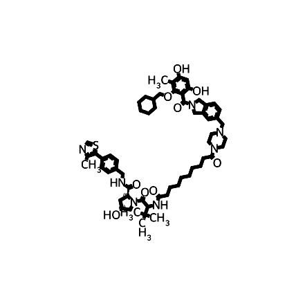 Cc1ncsc1-c1ccc(CNC(=O)[C@@H]2C[C@@H](O)CN2C(=O)C(NC(=O)CCCCCCCCC(=O)N2CCN(Cc3ccc4c(c3)CN(C(=O)c3c(O)cc(O)c(C)c3OCC3CCCCC3)C4)CC2)C(C)(C)C)cc1